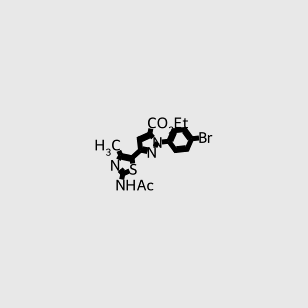 CCOC(=O)c1cc(-c2sc(NC(C)=O)nc2C)nn1-c1ccc(Br)cc1